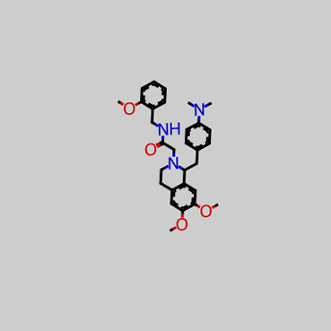 COc1ccccc1CNC(=O)CN1CCc2cc(OC)c(OC)cc2C1Cc1ccc(N(C)C)cc1